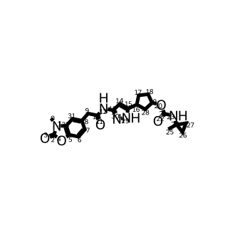 Cn1c(=O)oc2ccc(CC(=O)Nc3cc(C4CCC(OC(=O)NC5(C)CC5)C4)[nH]n3)cc21